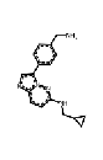 NCc1ccc(-c2cnc3ccc(NCC4CC4)nn23)cc1